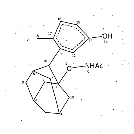 CC(=O)NOC12CC3CC(CC(C3)C1c1cc(O)ccc1C)C2